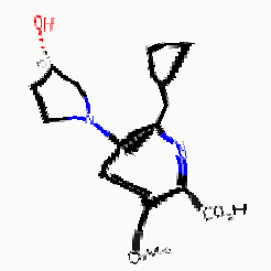 COc1cc(N2CC[C@H](O)C2)c(C2CC2)nc1C(=O)O